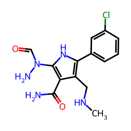 CNCc1c(-c2cccc(Cl)c2)[nH]c(N(N)C=O)c1C(N)=O